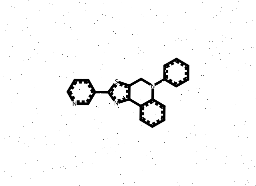 c1ccc(N2Cc3sc(-c4cccnc4)nc3-c3ccccc32)cc1